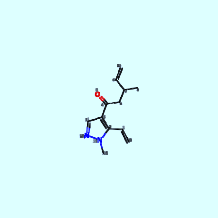 C=Cc1c(C(=O)CC(C)C=C)cnn1C